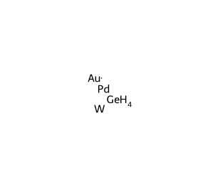 [Au].[GeH4].[Pd].[W]